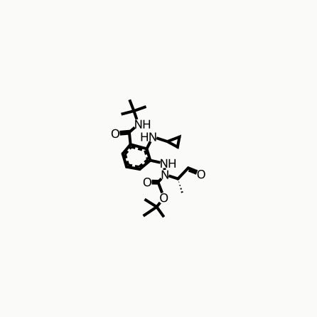 C[C@@H](C=O)N(Nc1cccc(C(=O)NC(C)(C)C)c1NC1CC1)C(=O)OC(C)(C)C